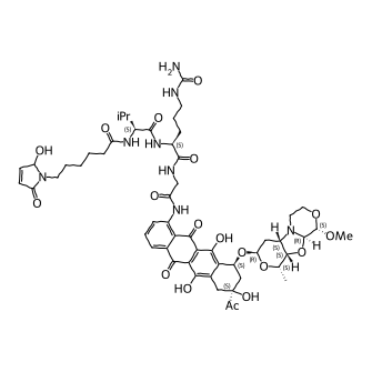 CO[C@H]1OCCN2[C@@H]1O[C@@H]1[C@H](C)O[C@@H](O[C@H]3C[C@](O)(C(C)=O)Cc4c(O)c5c(c(O)c43)C(=O)c3c(NC(=O)CNC(=O)[C@H](CCCNC(N)=O)NC(=O)[C@@H](NC(=O)CCCCCN4C(=O)C=CC4O)C(C)C)cccc3C5=O)C[C@@H]12